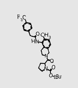 Cc1ccc2c(c1NC(=O)Cc1ccc(C(F)(F)F)cc1)CCN(C(=O)C1CCCN1C(=O)OC(C)(C)C)C2